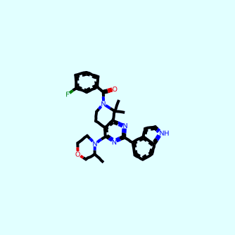 CC1COCCN1c1nc(-c2cccc3[nH]ccc23)nc2c1CCN(C(=O)c1cccc(F)c1)C2(C)C